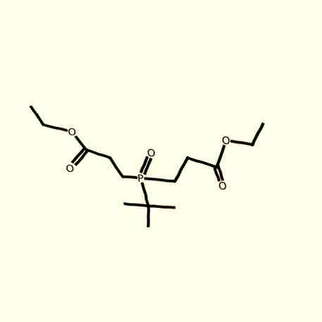 CCOC(=O)CCP(=O)(CCC(=O)OCC)C(C)(C)C